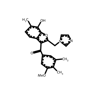 COc1cc(C(=O)c2c(Cn3ccnc3)oc3c(O)c(C)ccc23)cc(C)c1C